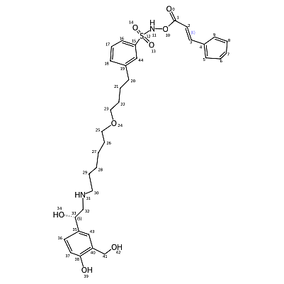 O=C(/C=C/c1ccccc1)ONS(=O)(=O)c1cccc(CCCCOCCCCCCNC[C@@H](O)c2ccc(O)c(CO)c2)c1